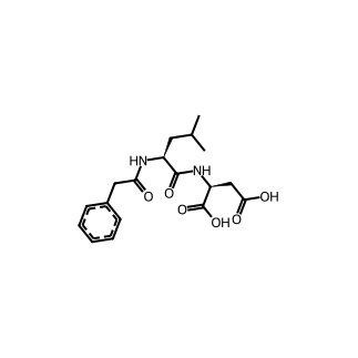 CC(C)C[C@H](NC(=O)Cc1ccccc1)C(=O)N[C@@H](CC(=O)O)C(=O)O